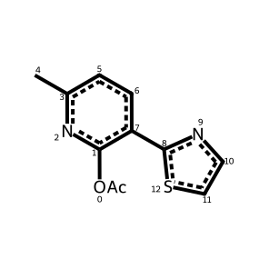 CC(=O)Oc1nc(C)ccc1-c1nccs1